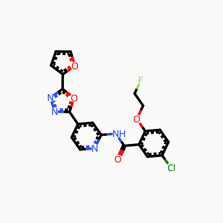 O=C(Nc1cc(-c2nnc(-c3ccco3)o2)ccn1)c1cc(Cl)ccc1OCCF